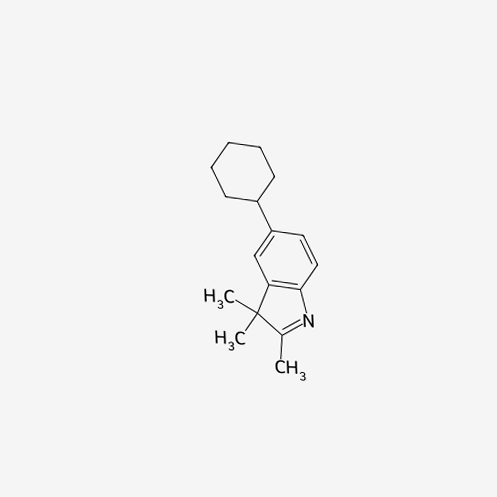 CC1=Nc2ccc(C3CCCCC3)cc2C1(C)C